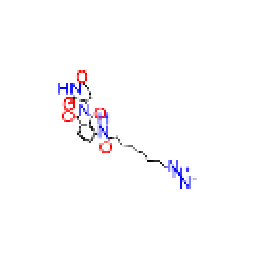 [N-]=[N+]=NCCCCCCCCC(=O)Nc1cccc2c1C(=O)N(C1CCC(=O)NC1=O)C2=O